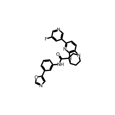 O=C(Nc1cccc(-c2cnco2)c1)N1c2nc(-c3cncc(F)c3)ccc2N2CCC1CC2